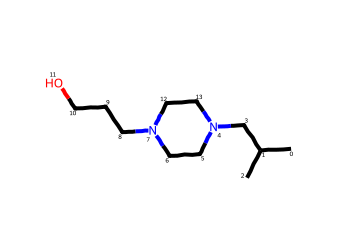 CC(C)CN1CCN(CCCO)CC1